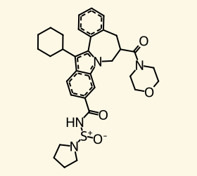 O=C(N[S+]([O-])N1CCCC1)c1ccc2c(C3CCCCC3)c3n(c2c1)CC(C(=O)N1CCOCC1)Cc1ccccc1-3